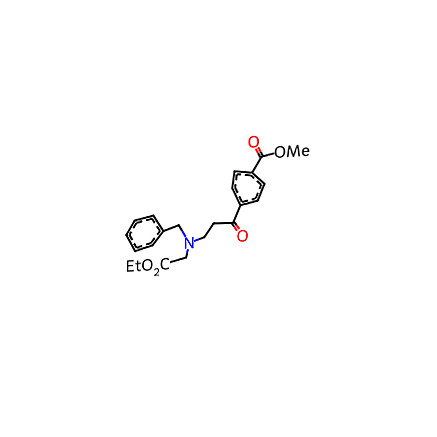 CCOC(=O)CN(CCC(=O)c1ccc(C(=O)OC)cc1)Cc1ccccc1